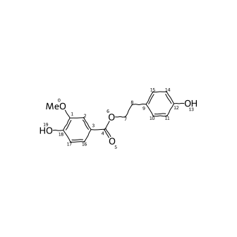 COc1cc(C(=O)OCCc2ccc(O)cc2)ccc1O